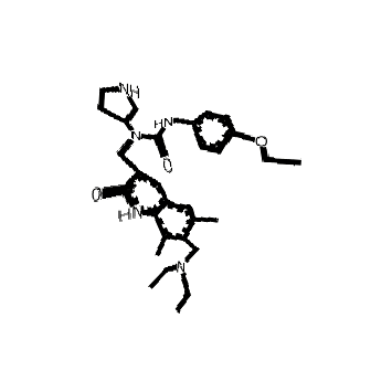 CCOc1ccc(NC(=O)N(Cc2cc3cc(C)c(CN(CC)CC)c(C)c3[nH]c2=O)C2CCNC2)cc1